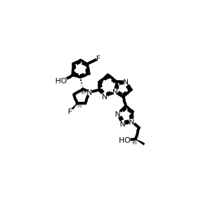 C[C@@H](O)Cn1cc(-c2cnc3ccc(N4C[C@@H](F)C[C@@H]4c4cc(F)ccc4O)nn23)nn1